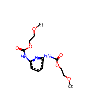 CCOCCOC(=O)Nc1cccc(NC(=O)OCCOCC)n1